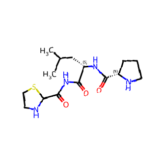 CC(C)C[C@H](NC(=O)[C@@H]1CCCN1)C(=O)NC(=O)C1NCCS1